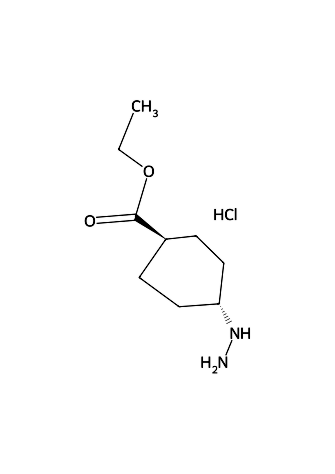 CCOC(=O)[C@H]1CC[C@H](NN)CC1.Cl